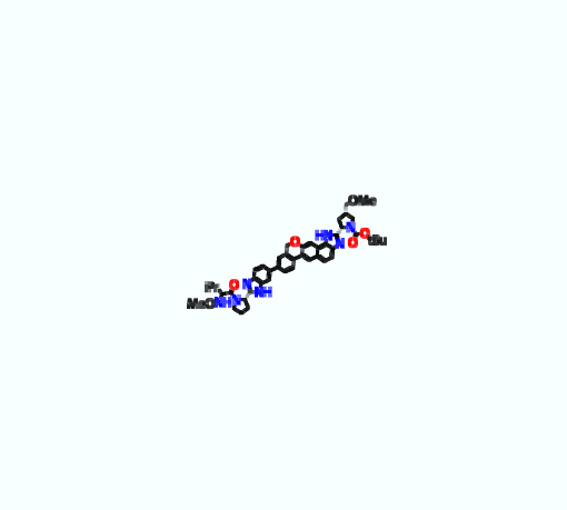 COC[C@H]1C[C@@H](c2nc3ccc4cc5c(cc4c3[nH]2)OCc2cc(-c3ccc4nc([C@@H]6CCCN6C(=O)[C@@H](NOC)C(C)C)[nH]c4c3)ccc2-5)N(C(=O)OC(C)(C)C)C1